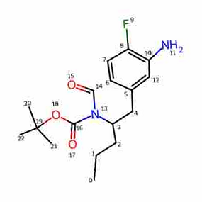 CCCC(Cc1ccc(F)c(N)c1)N(C=O)C(=O)OC(C)(C)C